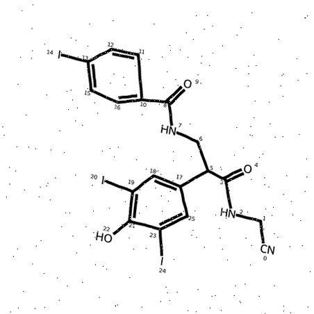 N#CCNC(=O)C(CNC(=O)c1ccc(I)cc1)c1cc(I)c(O)c(I)c1